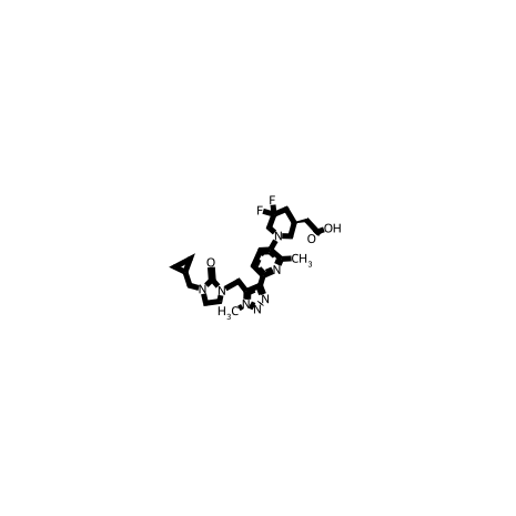 Cc1nc(-c2nnn(C)c2CN2CCN(CC3CC3)C2=O)ccc1N1C[C@H](CC(=O)O)CC(F)(F)C1